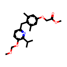 COCOc1ccc(Cc2c(C)cc(OCC(=O)OC)cc2C)nc1C(C)C